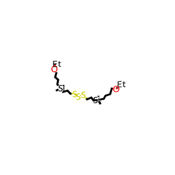 CCOCCCC[Si](C)(C)CCCSSSCCC[Si](C)(C)CCCCOCC